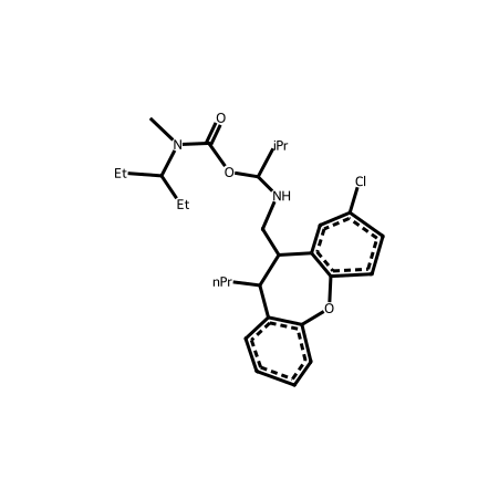 CCCC1c2ccccc2Oc2ccc(Cl)cc2C1CNC(OC(=O)N(C)C(CC)CC)C(C)C